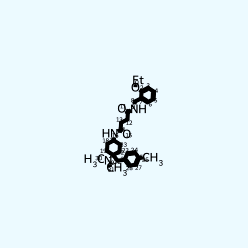 CCOc1ccccc1CNC(=O)CCC(=O)NC1CCC(Cc2ccc(C)cc2)(N(C)C)CC1